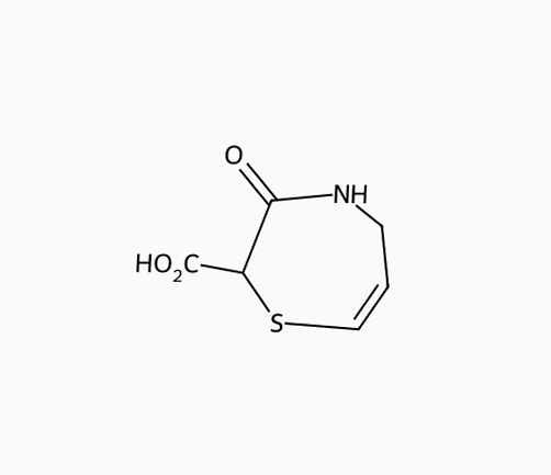 O=C(O)C1SC=CCNC1=O